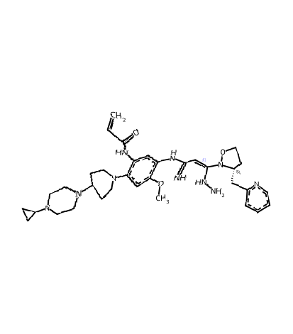 C=CC(=O)Nc1cc(NC(=N)/C=C(\NN)N2OCC[C@@H]2Cc2ccccn2)c(OC)cc1N1CCC(N2CCN(C3CC3)CC2)CC1